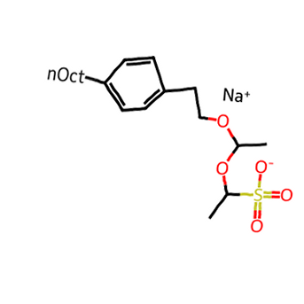 CCCCCCCCc1ccc(CCOC(C)OC(C)S(=O)(=O)[O-])cc1.[Na+]